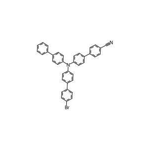 N#Cc1ccc(-c2ccc(N(c3ccc(-c4ccccc4)cc3)c3ccc(-c4ccc(Br)cc4)cc3)cc2)cc1